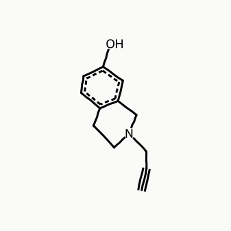 C#CCN1CCc2ccc(O)cc2C1